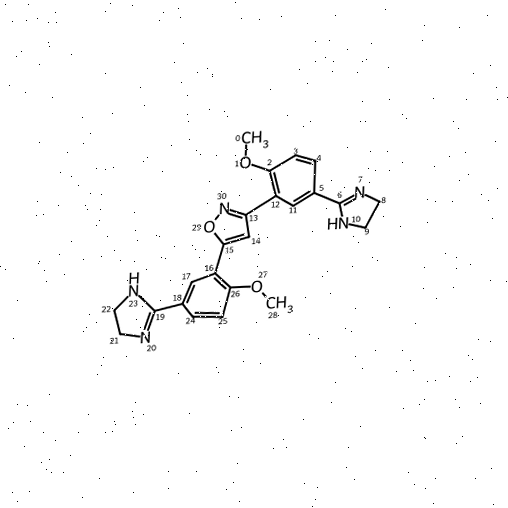 COc1ccc(C2=NCCN2)cc1-c1cc(-c2cc(C3=NCCN3)ccc2OC)on1